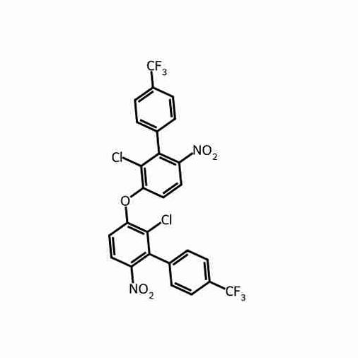 O=[N+]([O-])c1ccc(Oc2ccc([N+](=O)[O-])c(-c3ccc(C(F)(F)F)cc3)c2Cl)c(Cl)c1-c1ccc(C(F)(F)F)cc1